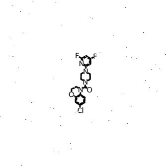 O=C(N1CCN(c2cc(F)cc(F)n2)CC1)N1CCOc2cc(Cl)ccc21